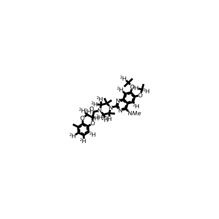 [2H]c1c([2H])c(C)c2c(c1[2H])OC([2H])(C(=O)N1C([2H])([2H])C([2H])(C)N(c3nc(NC)c4c([2H])c(OC([2H])([2H])C)c(OC([2H])(C)C)c([2H])c4n3)C(C)(C)C1([2H])[2H])C([2H])([2H])O2